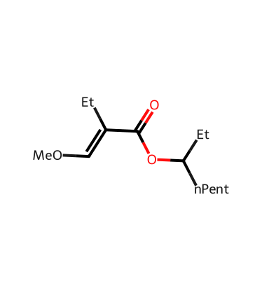 CCCCCC(CC)OC(=O)C(=COC)CC